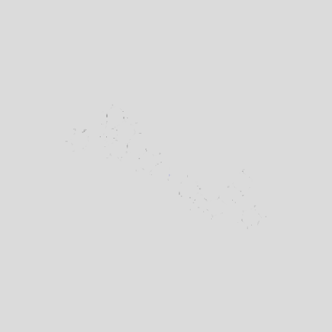 C(=C\c1ccc2c(c1)sc1ccc(N(c3ccccc3)c3ccccc3)cc12)/c1ccc(-c2ccc3c4c2ccc2cccc(c24)n3-c2ccccc2)cc1